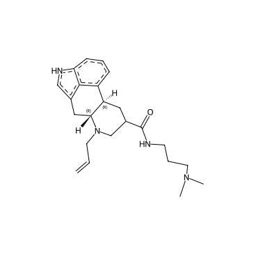 C=CCN1CC(C(=O)NCCCN(C)C)C[C@@H]2c3cccc4[nH]cc(c34)C[C@H]21